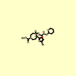 COC(=O)N1CC[C@](CC(=O)NOC2CCCCO2)(c2ccc(Br)s2)S(=O)(=O)CC1